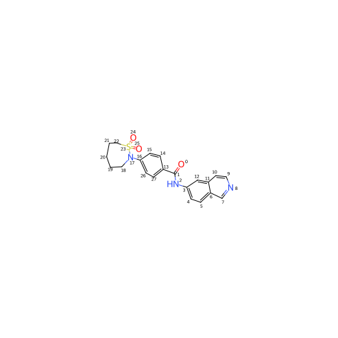 O=C(Nc1ccc2cnccc2c1)c1ccc(N2CCCCCS2(=O)=O)cc1